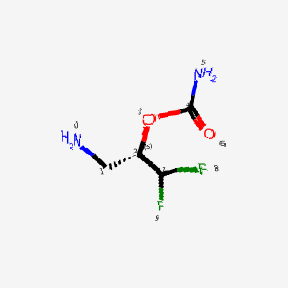 NC[C@H](OC(N)=O)C(F)F